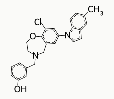 Cc1ccc2c(ccn2-c2cc(Cl)c3c(c2)CN(Cc2cccc(O)c2)CCO3)c1